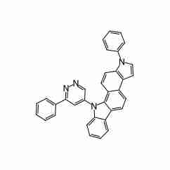 c1ccc(-c2cc(-n3c4ccccc4c4ccc5c6ccn(-c7ccccc7)c6ccc5c43)cnn2)cc1